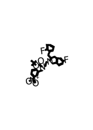 CC(C)(C)OC(=O)N(CCN1Cc2ccc(F)cc2CC1Cc1ccccc1F)Cc1cccc([N+](=O)[O-])c1